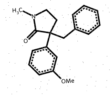 COc1cccc(C2(Cc3ccccc3)CCN(C)C2=O)c1